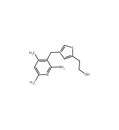 Cc1cc(C)c(C[n+]2csc(CCO)c2)c(N)n1